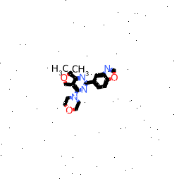 CC1(C)OCc2c(N3CCOCC3)nc(-c3ccc4ocnc4c3)nc21